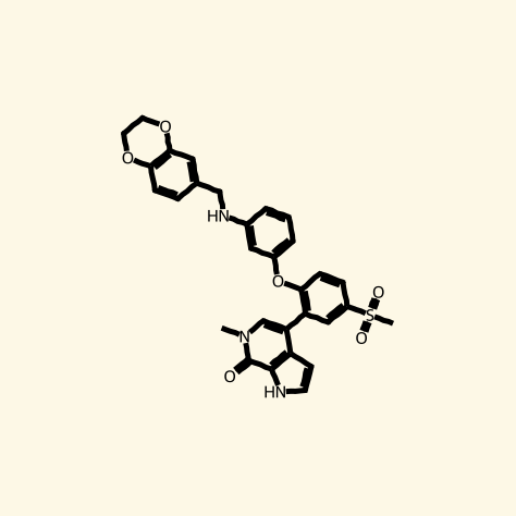 Cn1cc(-c2cc(S(C)(=O)=O)ccc2Oc2cccc(NCc3ccc4c(c3)OCCO4)c2)c2cc[nH]c2c1=O